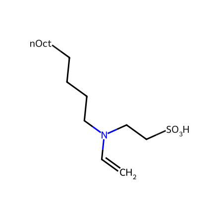 C=CN(CCCCCCCCCCCC)CCS(=O)(=O)O